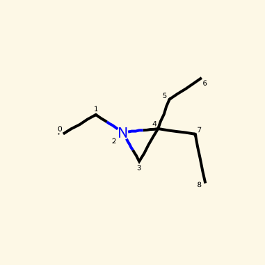 [CH2]CN1CC1(CC)CC